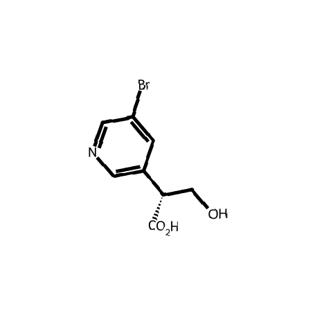 O=C(O)[C@@H](CO)c1cncc(Br)c1